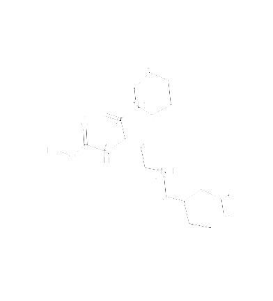 CC(C)(C)OC(=O)N[C@@H](CCNCC1CCCCC1)C(=O)N1CCCCC1